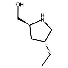 CC[C@H]1CN[C@H](CO)C1